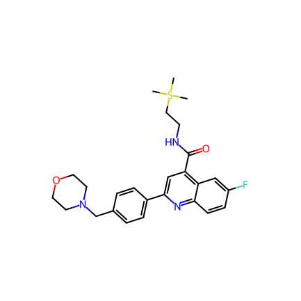 CS(C)(C)CCNC(=O)c1cc(-c2ccc(CN3CCOCC3)cc2)nc2ccc(F)cc12